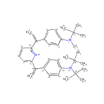 C=C(c1ccc(N(C)[Si](C)(C)C)cc1)c1cccc(C(=C)c2ccc(N([Si](C)(C)C)[Si](C)(C)C)cc2)n1